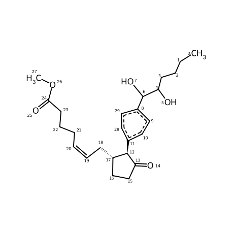 CCCCC(O)C(O)c1ccc([C@H]2C(=O)CC[C@@H]2C/C=C\CCCC(=O)OC)cc1